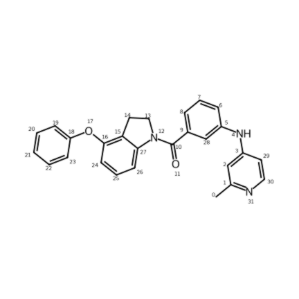 Cc1cc(Nc2cccc(C(=O)N3CCc4c(Oc5ccccc5)cccc43)c2)ccn1